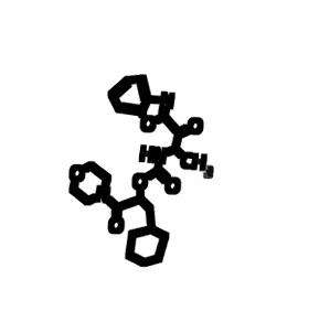 CC(NC(=O)OC(CC1CCCCC1)C(=O)N1CCOCC1)C(=O)c1nc2ccccc2o1